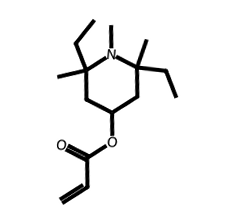 C=CC(=O)OC1CC(C)(CC)N(C)C(C)(CC)C1